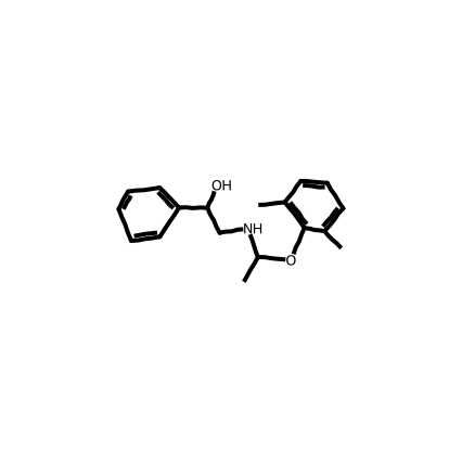 Cc1cccc(C)c1OC(C)NCC(O)c1ccccc1